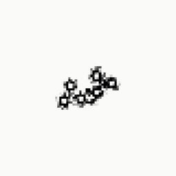 CB1c2cc(N(c3ccccc3)c3ccccc3)ccc2C=Cc2ccc(N(c3ccccc3)c3ccccc3)cc21